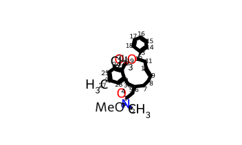 CON(C)C(=O)CC1CC/C=C/C[C@H](c2ccccc2)OC(=O)c2c(C)cc(C)cc2C1